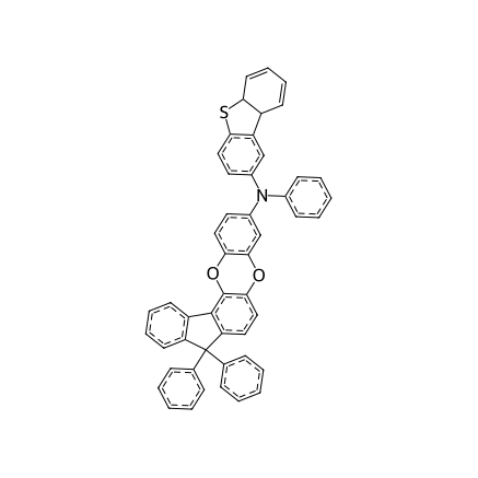 C1=CC2Sc3ccc(N(c4ccccc4)c4ccc5c(c4)Oc4ccc6c(c4O5)-c4ccccc4C6(c4ccccc4)c4ccccc4)cc3C2C=C1